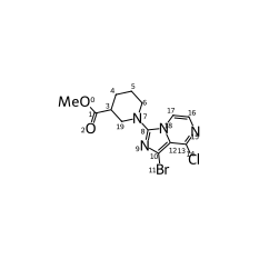 COC(=O)C1CCCN(c2nc(Br)c3c(Cl)nccn23)C1